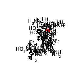 CC[C@H](C)[C@H](NC(=O)[C@@H](NC(=O)[C@H](CC(C)C)NC(=O)[C@H](CCCNC(=N)N)NC(=O)[C@H](CCSC)NC(=O)[C@@H](NC(=O)[C@H](CO)NC(=O)[C@H](C)NC(=O)[C@H](CCCCN)NC(=O)[C@H](CC(=O)O)NC(=O)[C@@H](N)CC(C)C)C(C)C)[C@@H](C)O)C(=O)N[C@@H](CO)C(=O)N[C@@H](Cc1ccc(O)cc1)C(=O)N[C@@H](CC(C)C)C(=O)N[C@@H](CCCNC(=N)N)C(=O)N[C@H](C(=O)N[C@@H](CCCNC(=N)N)C(=O)N[C@@H](CCCCN)C(=O)O)C(C)C